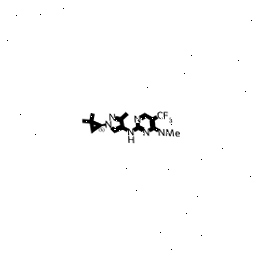 CNc1nc(Nc2cn([C@H]3CC3(C)C)nc2C)ncc1C(F)(F)F